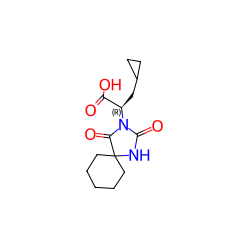 O=C(O)[C@@H](CC1CC1)N1C(=O)NC2(CCCCC2)C1=O